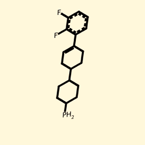 Fc1cccc(C2=CCC(C3CCC(P)CC3)CC2)c1F